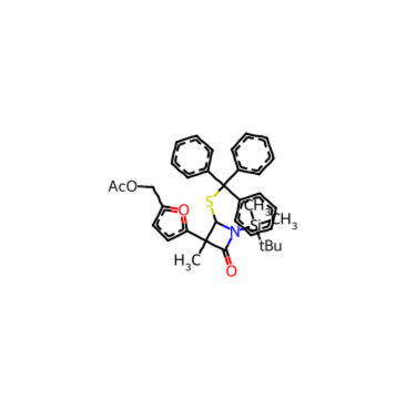 CC(=O)OCc1ccc(C2(C)C(=O)N([Si](C)(C)C(C)(C)C)C2SC(c2ccccc2)(c2ccccc2)c2ccccc2)o1